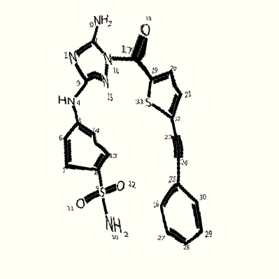 Nc1nc(Nc2ccc(S(N)(=O)=O)cc2)nn1C(=O)c1ccc(C#Cc2ccccc2)s1